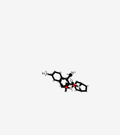 CC(C)(C)OC(=O)N1C2CCC1CN(c1ccc3c(c1C#N)CCC(N)C3)C2